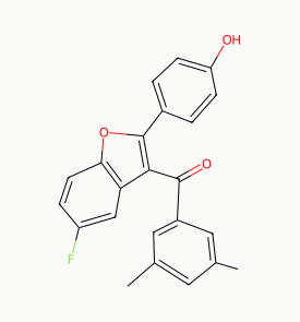 Cc1cc(C)cc(C(=O)c2c(-c3ccc(O)cc3)oc3ccc(F)cc23)c1